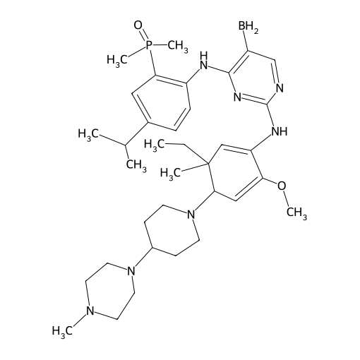 Bc1cnc(NC2=CC(C)(CC)C(N3CCC(N4CCN(C)CC4)CC3)C=C2OC)nc1Nc1ccc(C(C)C)cc1P(C)(C)=O